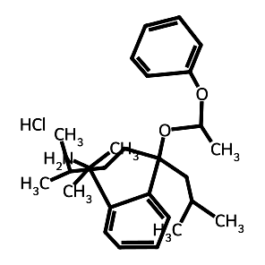 CC(C)CCC(CC(C)C)(OC(C)Oc1ccccc1)c1ccccc1C(C)(C)N.Cl